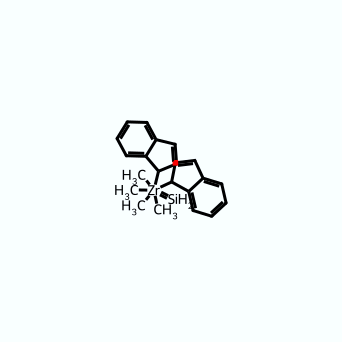 [CH3][Zr]([CH3])([CH3])([CH3])(=[SiH2])([CH]1C=Cc2ccccc21)[CH]1C=Cc2ccccc21